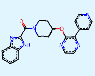 O=C(c1nc2ccccc2[nH]1)N1CCC(Oc2nccnc2-c2ccncc2)CC1